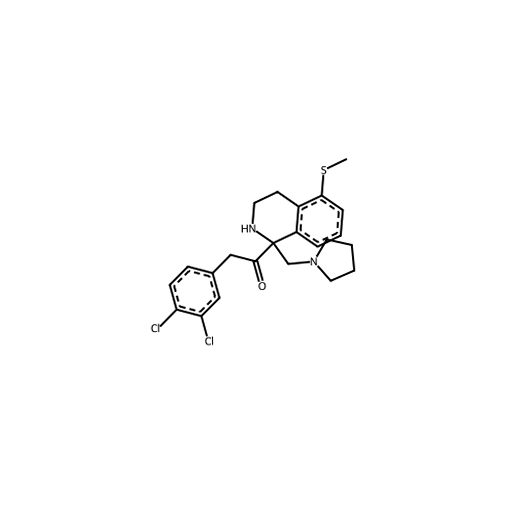 CSc1cccc2c1CCNC2(CN1CCCC1)C(=O)Cc1ccc(Cl)c(Cl)c1